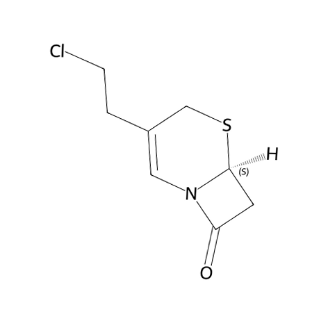 O=C1C[C@@H]2SCC(CCCl)=CN12